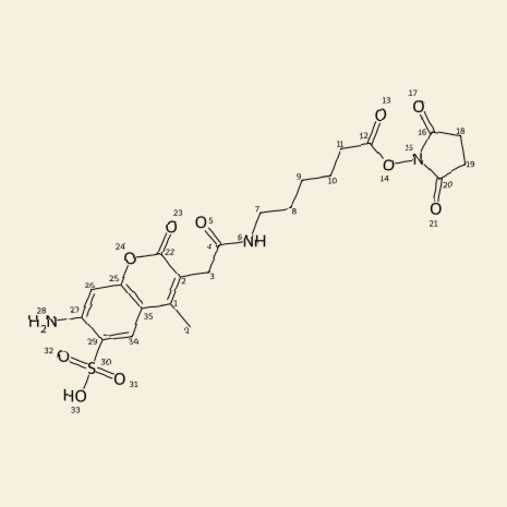 Cc1c(CC(=O)NCCCCCC(=O)ON2C(=O)CCC2=O)c(=O)oc2cc(N)c(S(=O)(=O)O)cc12